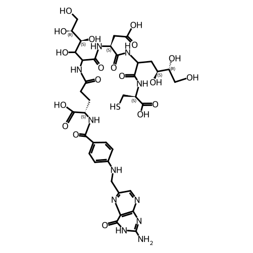 Nc1nc2ncc(CNc3ccc(C(=O)N[C@@H](CCC(=O)NC(C(=O)N[C@@H](CC(=O)O)C(=O)NC(C[C@H](O)[C@H](O)CO)C(=O)N[C@H](CS)C(=O)O)C(O)[C@H](O)[C@H](O)CO)C(=O)O)cc3)nc2c(=O)[nH]1